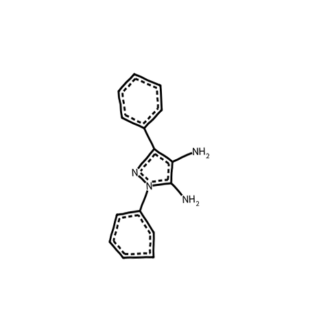 Nc1c(-c2ccccc2)nn(-c2ccccc2)c1N